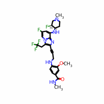 CNC(=O)c1ccc(NCC#Cc2nc3c(N[C@@H]4CCN(C)C[C@@H]4F)cc(F)cn3c2CC(F)(F)F)c(OC)c1